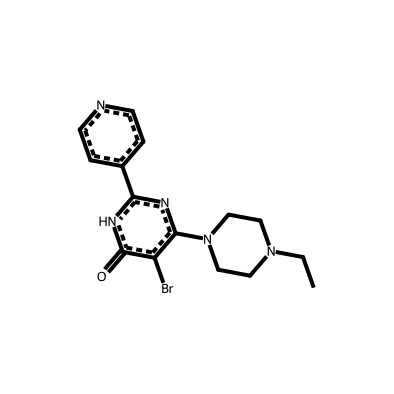 CCN1CCN(c2nc(-c3ccncc3)[nH]c(=O)c2Br)CC1